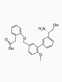 COc1ccc(COc2ccccc2CC(=O)O)cc1-c1cccc([C@H](N)CO)c1